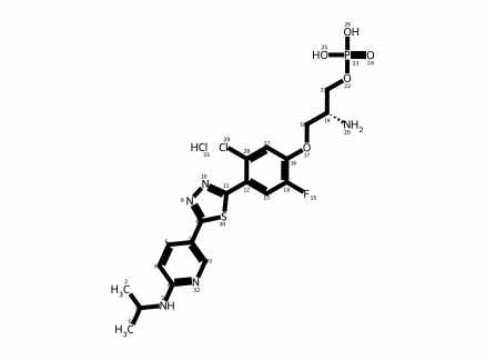 CC(C)Nc1ccc(-c2nnc(-c3cc(F)c(OC[C@@H](N)COP(=O)(O)O)cc3Cl)s2)cn1.Cl